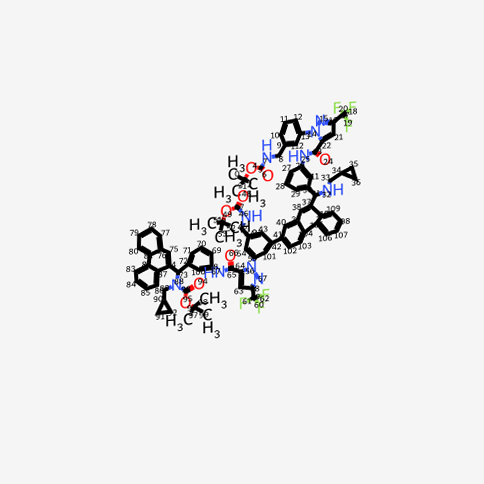 CC(C)(C)OC(=O)NCc1cccc(-n2nc(C(F)(F)F)cc2C(=O)Nc2cccc(C(NCC3CC3)c3cc4cc(-c5cc(CNC(=O)OC(C)(C)C)cc(-n6nc(C(F)(F)F)cc6C(=O)Nc6cccc(C(c7cc8ccccc8c8ccccc78)N(CC7CC7)C(=O)OC(C)(C)C)c6)c5)ccc4c4ccccc34)c2)c1